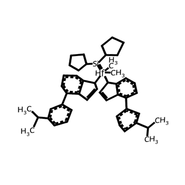 CC(C)c1cccc(-c2cccc3c2C=C[CH]3[Hf]([CH3])([CH3])([CH]2C=Cc3c(-c4cccc(C(C)C)c4)cccc32)=[Si](C2CCCC2)C2CCCC2)c1